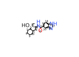 O=C(N[C@@H](CC1CCCCC1)C(=O)O)c1ccc2[nH]cnc2c1